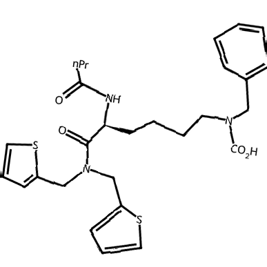 CCCC(=O)N[C@@H](CCCCN(Cc1ccccc1)C(=O)O)C(=O)N(Cc1cccs1)Cc1cccs1